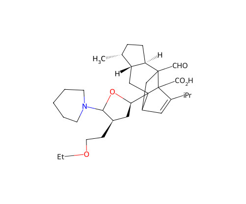 CCOCC[C@@H]1C[C@H](C23C[C@@H]4[C@H](C)CC[C@H]4C4(C=O)CC2C=C(C(C)C)C43C(=O)O)OC1N1CCCCC1